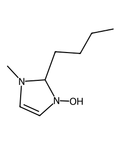 CCCCC1N(C)C=CN1O